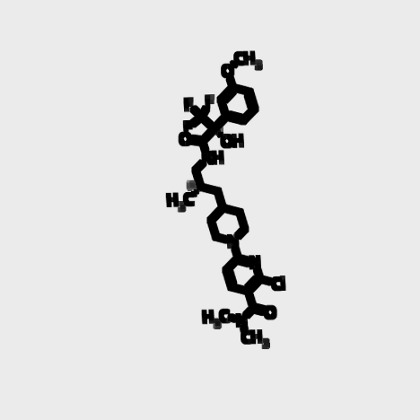 COc1cccc([C@@](O)(C(=O)NC[C@@H](C)CC2CCN(c3ccc(C(=O)N(C)C)c(Cl)n3)CC2)C(F)(F)F)c1